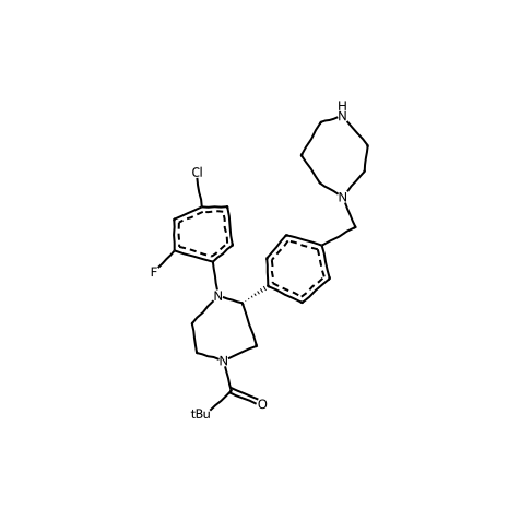 CC(C)(C)C(=O)N1CCN(c2ccc(Cl)cc2F)[C@H](c2ccc(CN3CCCNCC3)cc2)C1